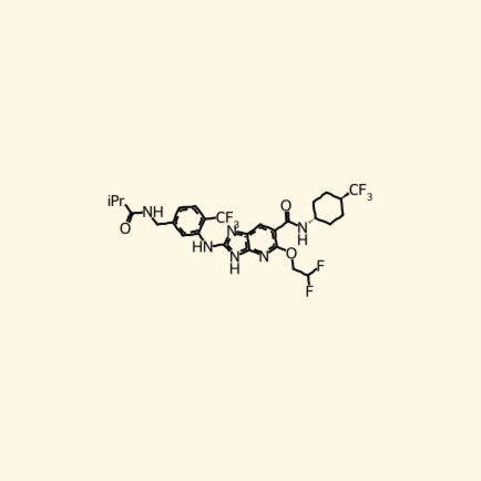 CC(C)C(=O)NCc1ccc(C(F)(F)F)c(Nc2nc3cc(C(=O)N[C@H]4CC[C@H](C(F)(F)F)CC4)c(OCC(F)F)nc3[nH]2)c1